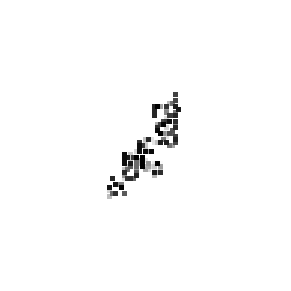 Cc1cnc(-c2ccc3c(c2)nc(CN2CCC(c4cccc5c4O[C@@](C)(c4ccc(Cl)cc4F)O5)CC2)n3C[C@@H]2CCO2)nc1